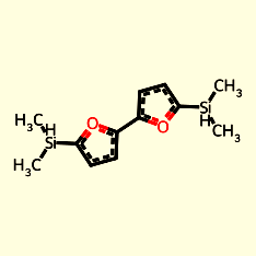 C[SiH](C)c1ccc(-c2ccc([SiH](C)C)o2)o1